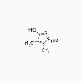 CCCCn1nc(O)c(C)c1C